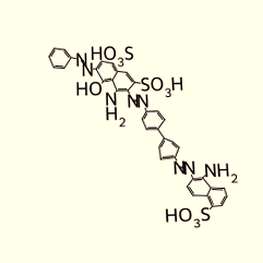 Nc1c(/N=N/c2ccc(-c3ccc(/N=N/c4c(S(=O)(=O)O)cc5cc(S(=O)(=O)O)c(/N=N/c6ccccc6)c(O)c5c4N)cc3)cc2)ccc2c(S(=O)(=O)O)cccc12